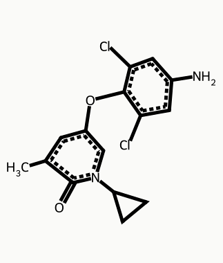 Cc1cc(Oc2c(Cl)cc(N)cc2Cl)cn(C2CC2)c1=O